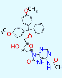 COc1ccc(C(OC[C@H]2O[C@@H](n3c(=O)[nH]c4c(NC(C)=O)ncnc43)C[C@@H]2O)(c2ccccc2)c2ccc(OC)cc2)cc1